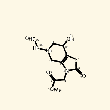 COC(=O)Cn1c2c(sc1=O)C(O)CN(BC=O)C2